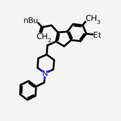 C=C(CCCC)CC1=C(CC2CCN(Cc3ccccc3)CC2)Cc2cc(CC)c(C)cc21